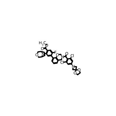 COC(=O)c1cc(F)c(-c2cccc3c2OCN(C(=O)c2c(Cl)cc(N4CC5(C4)OCCO5)cc2Cl)C3)cc1N1C2CCC1COC2